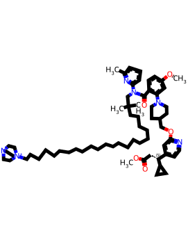 COC(=O)C[C@H](c1ccnc(OCC2CCN(c3cc(OC)ccc3C(=O)N(CC(C)(C)CCCCCCCCCCCCCCCCCCCCCC[N+]34CCN(CC3)CC4)c3cccc(C)n3)CC2)c1)C1CC1